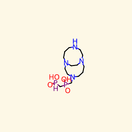 O=[PH](O)CP(=O)(O)CN1CCCN2CCNCCCN(CC2)CC1